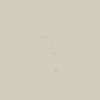 Cn1c(=O)n(C2CCC(=O)NC2=O)c2ccc(Cl)c(C3CCNCC3)c21